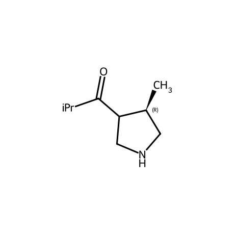 CC(C)C(=O)C1CNC[C@@H]1C